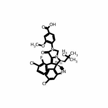 COc1cc(C(=O)O)ccc1N1CN2C(=C(c3cccc(Cl)c3F)[C@@](C#N)(c3ccc(Cl)cc3F)[C@@H]2CC(C)(C)C)C1=O